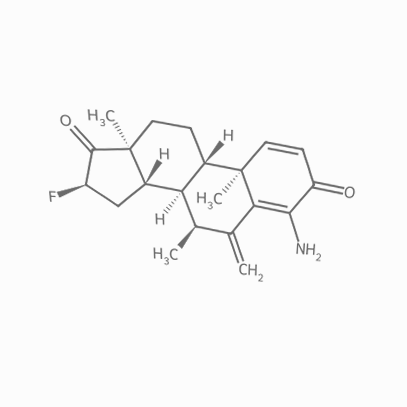 C=C1C2=C(N)C(=O)C=C[C@]2(C)[C@H]2CC[C@]3(C)C(=O)[C@H](F)C[C@H]3[C@@H]2[C@@H]1C